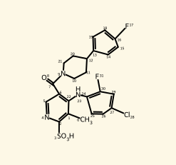 Cc1c(S(=O)(=O)O)ncc(C(=O)N2CCC(c3ccc(F)cc3)CC2)c1Nc1ccc(Cl)cc1F